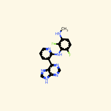 CNc1ccc(F)c(Nc2ncccc2-c2ncnc3[nH]cnc23)c1F